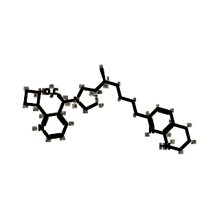 C[C@@H](CCCCc1ccc2c(n1)NCCC2)[C@@H]1CCN([C@H](C(=O)O)c2cccnc2C2CCC2)C1